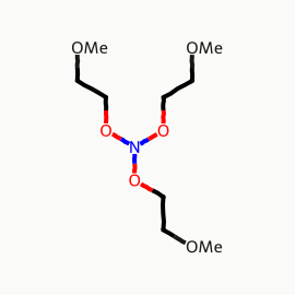 COCCON(OCCOC)OCCOC